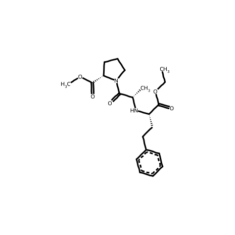 CCOC(=O)[C@H](CCc1ccccc1)N[C@@H](C)C(=O)N1CCC[C@H]1C(=O)OC